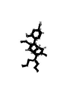 CCCN(CCC)c1c(C)nn2c(-c3ccc(Cl)cc3Cl)c(CC)oc12